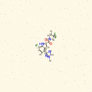 Cc1cc(F)c2[nH]c(S(=O)(=O)N3CC(C)C(F)(F)C3)cc2c1-c1ncn(C)n1